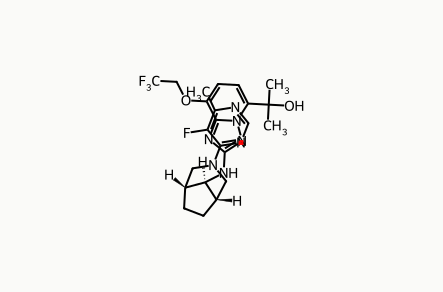 Cc1ncnc(N2C[C@H]3CC[C@@H](C2)[C@@H]3Nc2nc3c(OCC(F)(F)F)ccc(C(C)(C)O)n3n2)c1F